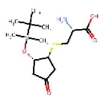 CC(C)(C)[Si](C)(C)O[C@H]1CC(=O)C[C@@H]1SC[C@H](N)C(=O)O